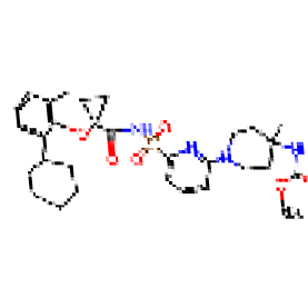 Cc1cccc(C2CCCCC2)c1OC1(C(=O)NS(=O)(=O)c2cccc(N3CCC(C)(NC(=O)OC(C)(C)C)CC3)n2)CC1